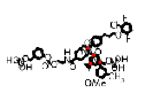 COc1ccc(CN(C(=O)C2=C(c3ccc(CCCOc4c(F)ccc(F)c4Cl)cc3)CC3CC(C(=O)NCCOC(=O)Oc4cccc(CON(O)O)c4)CC2N3C(=O)Oc2cccc(CON(O)O)c2)C2CC2)cc1C